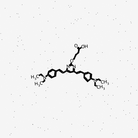 CCN(CC)c1ccc(/C=C/c2cc(/C=C/c3ccc(N(CC)CC)cc3)nc(OCCCC(=O)O)n2)cc1